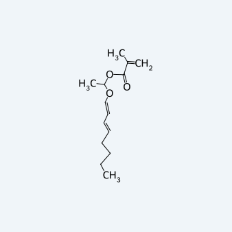 C=C(C)C(=O)OC(C)OC=CC=CCCCC